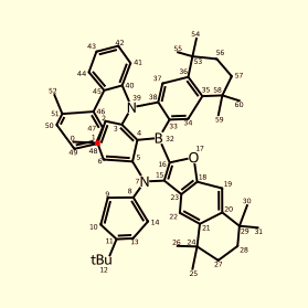 Cc1cc2c3c(c1)N(c1ccc(C(C)(C)C)cc1)c1c(oc4cc5c(cc14)C(C)(C)CCC5(C)C)B3c1cc3c(cc1N2c1ccccc1-c1ccccc1C)C(C)(C)CCC3(C)C